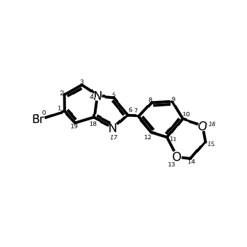 Brc1ccn2cc(-c3ccc4c(c3)OCCO4)nc2c1